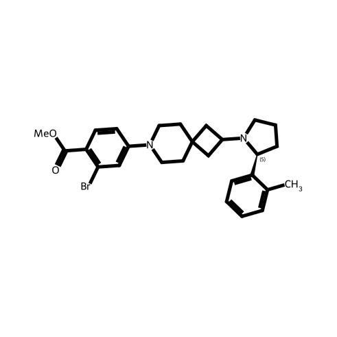 COC(=O)c1ccc(N2CCC3(CC2)CC(N2CCC[C@H]2c2ccccc2C)C3)cc1Br